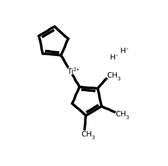 CC1=C(C)C(C)=[C]([Ti+2][C]2=CC=CC2)C1.[H-].[H-]